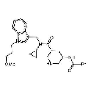 COCCCn1cc(CN(C(=O)C2CNCC(NC(=O)C(C)C)C2)C2CC2)c2ccccc21